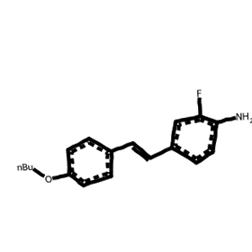 CCCCOc1ccc(C=Cc2ccc(N)c(F)c2)cc1